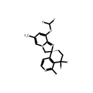 Cc1nccc2c1C(F)(F)CC[C@@]21CN2C=C(C(F)(F)F)C=C(OC(F)F)C2=N1